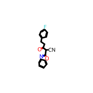 N#CC(C(=O)CCc1ccc(F)cc1)c1nc2ccccc2o1